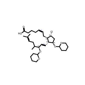 CC(C)=CCC(C)[C@@H](/C=C/[C@@H]1[C@@H](C/C=C\CCCC(=O)O)[C@H](Cl)C[C@H]1OC1CCCCO1)OC1CCCCO1